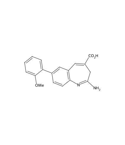 COc1ccccc1-c1ccc2c(c1)C=C(C(=O)O)CC(N)=N2